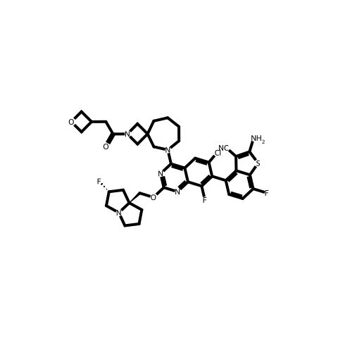 N#Cc1c(N)sc2c(F)ccc(-c3c(Cl)cc4c(N5CCCCC6(CN(C(=O)CC7COC7)C6)C5)nc(OC[C@@]56CCCN5C[C@H](F)C6)nc4c3F)c12